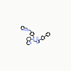 c1ccc(-c2ccc(-c3cnc(CN(Cc4ccc(CNCc5ccccn5)cc4)C4CCCc5cccnc54)[nH]3)cc2)cc1